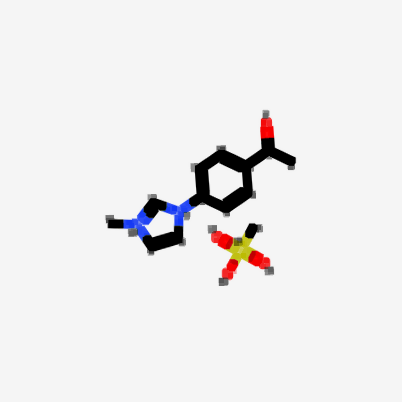 CC(=O)c1ccc(-n2cc[n+](C)c2)cc1.CS(=O)(=O)[O-]